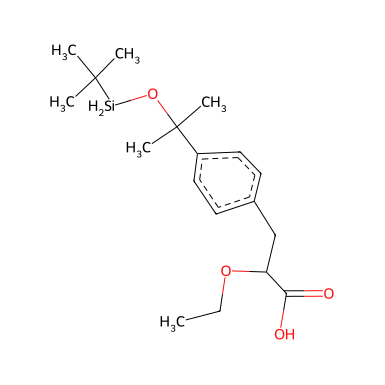 CCOC(Cc1ccc(C(C)(C)O[SiH2]C(C)(C)C)cc1)C(=O)O